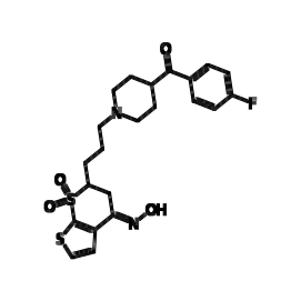 O=C(c1ccc(F)cc1)C1CCN(CCCC2CC(=NO)c3ccsc3S2(=O)=O)CC1